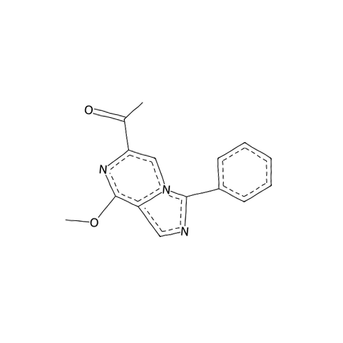 COc1nc(C(C)=O)cn2c(-c3ccccc3)ncc12